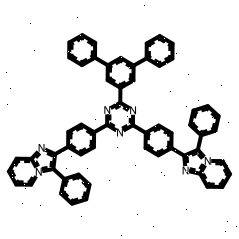 c1ccc(-c2cc(-c3ccccc3)cc(-c3nc(-c4ccc(-c5nc6ccccn6c5-c5ccccc5)cc4)nc(-c4ccc(-c5nc6ccccn6c5-c5ccccc5)cc4)n3)c2)cc1